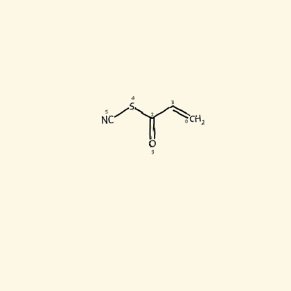 C=CC(=O)SC#N